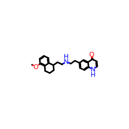 COc1cccc2c1CCCC2CCNCCc1ccc2[nH]ccc(=O)c2c1